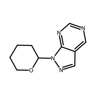 c1ncc2cnn(C3CCCCO3)c2n1